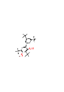 COc1c(C(C)(C)C)cc(-c2cc(C(C)(C)C)cc(C(C)(C)C)c2)c(O)c1C(C)(C)C